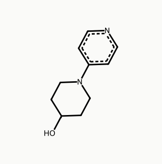 O[C]1CCN(c2ccncc2)CC1